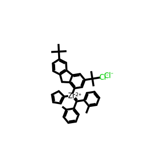 Cc1ccccc1[C](c1ccccc1C)=[Zr+2]([C]1=CC=CC1)[c]1cc(C(C)(C)C)cc2c1Cc1ccc(C(C)(C)C)cc1-2.[Cl-].[Cl-]